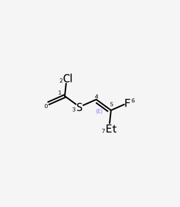 C=C(Cl)S/C=C(/F)CC